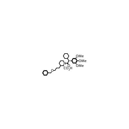 COc1cc([C@@H](C(=O)N2CCCC(CCCOCc3ccccc3)[C@H]2C(=O)O)C2CCCCC2)cc(OC)c1OC